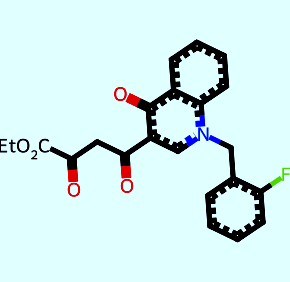 CCOC(=O)C(=O)CC(=O)c1cn(Cc2ccccc2F)c2ccccc2c1=O